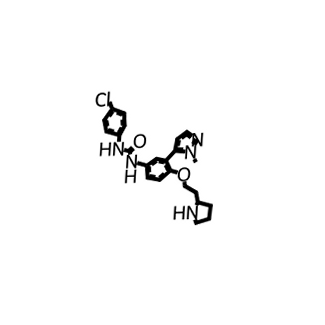 Cn1nccc1-c1cc(NC(=O)Nc2ccc(Cl)cc2)ccc1OCCC1CCCN1